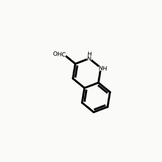 O=CC1=Cc2ccccc2NN1